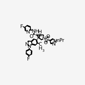 CCCn1cc(S(=O)(=O)N2C[C@@H]3[C@@H](C(=O)Nc4ccc(F)cn4)[C@]3(c3cc4cnn(-c5ccc(F)cc5)c4cc3C)C2)cn1